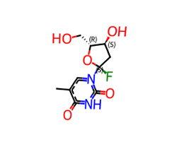 Cc1cn([C@@]2(F)C[C@H](O)[C@@H](CO)O2)c(=O)[nH]c1=O